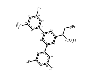 CC(C)CC(C(=O)O)c1cc(-c2cc(F)cc(F)c2)cc(-c2cc(F)cc(C(F)(F)F)c2)c1